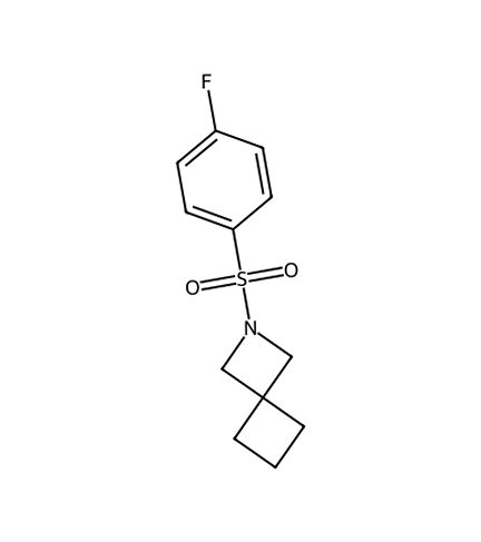 O=S(=O)(c1ccc(F)cc1)N1CC2(CCC2)C1